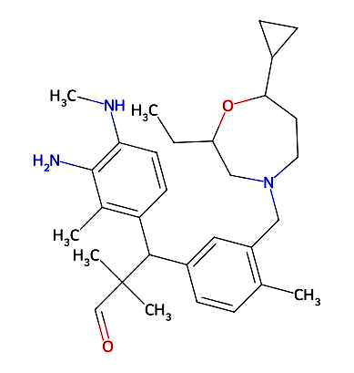 CCC1CN(Cc2cc(C(c3ccc(NC)c(N)c3C)C(C)(C)C=O)ccc2C)CCC(C2CC2)O1